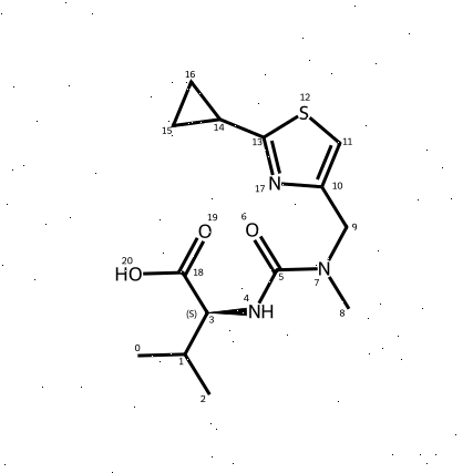 CC(C)[C@H](NC(=O)N(C)Cc1csc(C2CC2)n1)C(=O)O